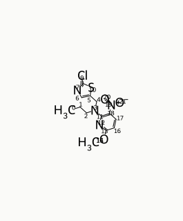 CCCN(Cc1cnc(Cl)s1)c1nc(OC)ccc1[N+](=O)[O-]